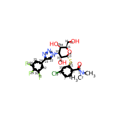 CN(C)C(=O)c1ccc(Cl)cc1S[C@H]1O[C@H](CO)[C@H](O)[C@H](n2cc(-c3cc(F)c(F)c(F)c3)nn2)[C@H]1O